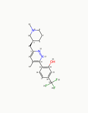 Cc1cc(C[C@@H]2CCCN(C)C2)nnc1-c1ccc(C(F)(F)F)cc1O